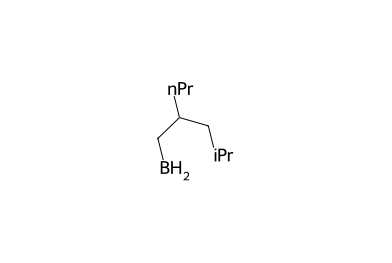 BCC(CCC)CC(C)C